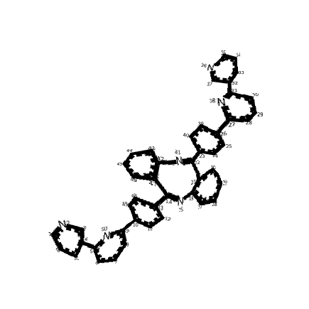 c1cncc(-c2cccc(-c3ccc(/C4=N/c5ccccc5/C(c5ccc(-c6cccc(-c7cccnc7)n6)cc5)=N\c5ccccc54)cc3)n2)c1